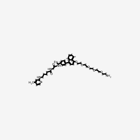 CCC(NC(=O)CNC(=O)CCCCNc1cc(C)ccn1)c1ccc(-c2ccc(OCCOCCOCCOCCOCCN)c3ccccc23)cc1